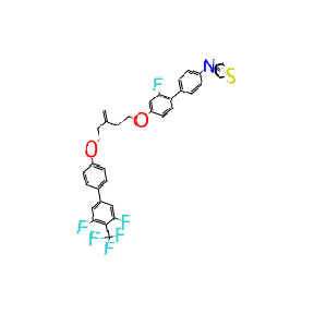 C=C(CCOc1ccc(-c2cc(F)c(C(F)(F)F)c(F)c2)cc1)CCOc1ccc(-c2ccc(N=C=S)cc2)c(F)c1